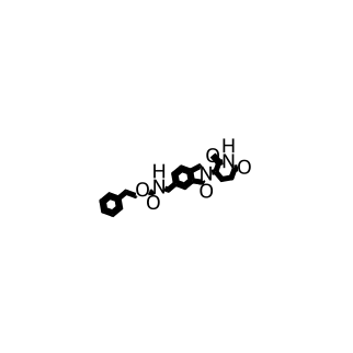 O=C1CCC(N2Cc3ccc(CNC(=O)OCCc4ccccc4)cc3C2=O)C(=O)N1